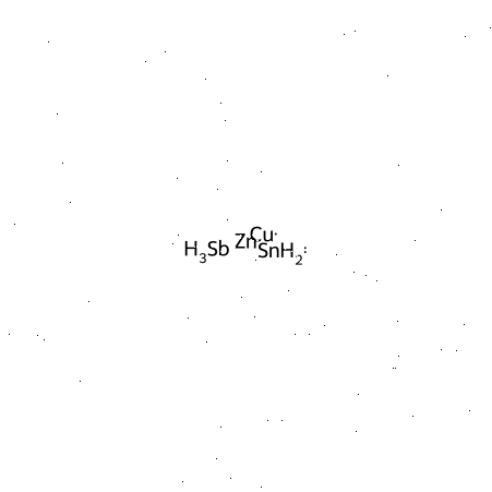 [Cu].[SbH3].[SnH2].[Zn]